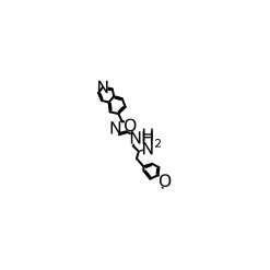 COc1ccc(C[C@H](N)CNc2cnc(-c3ccc4cnccc4c3)o2)cc1